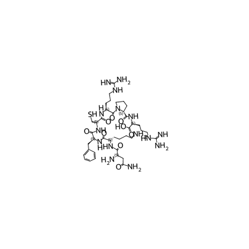 N=C(N)NCCC[C@H](NC(=O)[C@@H]1CCCN1C(=O)[C@H](CCCNC(=N)N)NC(=O)[C@H](CS)NC(=O)[C@H](Cc1ccccc1)NC(=O)[C@H](CCCCN)NC(=O)[C@@H](N)CC(N)=O)C(=O)O